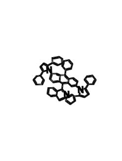 C1=CCC(c2ccc(-c3ccccc3)n2-c2ccc3c(-c4nccc5ccccc45)c4cc(-n5c(-c6ccccc6)ccc5-c5ccccc5)ccc4c(-c4ccccc4)c3c2)C=C1